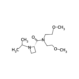 COCCN(CCOC)C(=O)[C@@H]1CCN1C(C)C